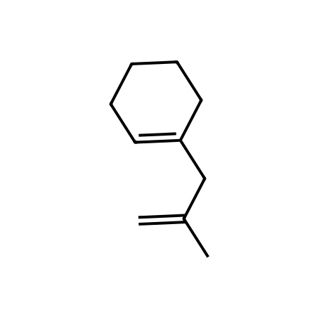 C=C(C)CC1=CCCCC1